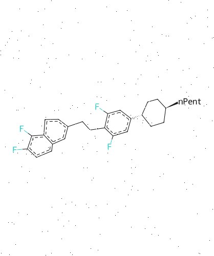 CCCCC[C@H]1CC[C@H](c2cc(F)c(CCc3ccc4c(F)c(F)ccc4c3)c(F)c2)CC1